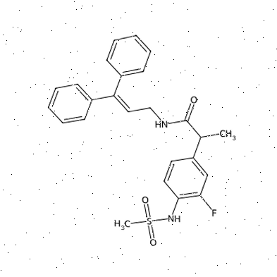 CC(C(=O)NCC=C(c1ccccc1)c1ccccc1)c1ccc(NS(C)(=O)=O)c(F)c1